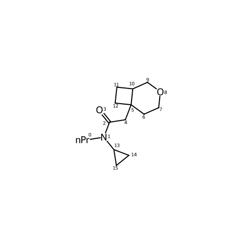 CCCN(C(=O)CC12CCOCC1CC2)C1CC1